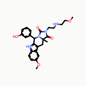 COCCNCCN1C(=O)N2C(c3cccc(O)c3)c3[nH]c4ccc(OC)cc4c3CC2(C)C1=O